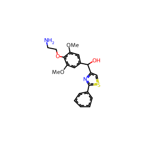 COc1cc(C(O)c2csc(-c3ccccc3)n2)cc(OC)c1OCCN